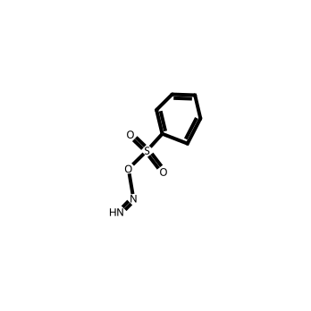 N=NOS(=O)(=O)c1ccccc1